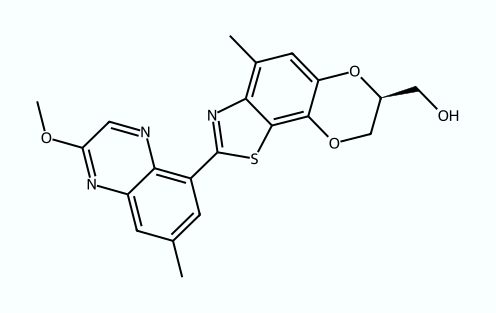 COc1cnc2c(-c3nc4c(C)cc5c(c4s3)OC[C@H](CO)O5)cc(C)cc2n1